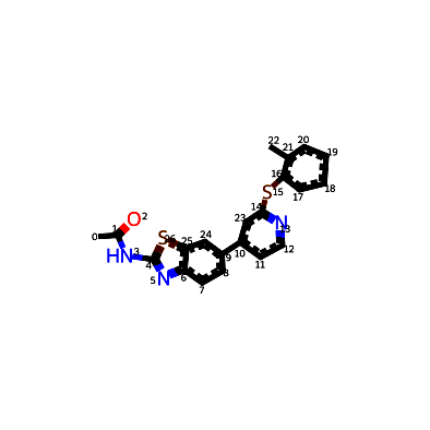 CC(=O)Nc1nc2ccc(-c3ccnc(Sc4ccccc4C)c3)cc2s1